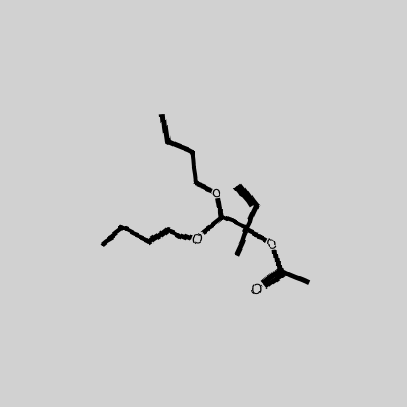 C=CC(C)(OC(C)=O)C(OCCCC)OCCCC